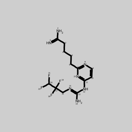 N=C(N)CCCCc1nccc(NC(N)=NCC(F)(F)C(F)F)n1